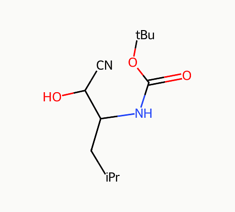 CC(C)CC(NC(=O)OC(C)(C)C)C(O)C#N